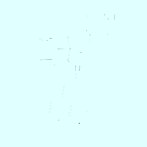 CN(CCc1cccc(C(F)(F)F)c1)C(=O)C1(c2ccccc2)CCN(S(N)(=O)=O)CC1